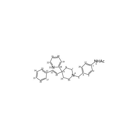 CC(=O)Nc1ccc(CN2CCC(/C=C/c3ccccc3)(c3ccccn3)CC2)cc1